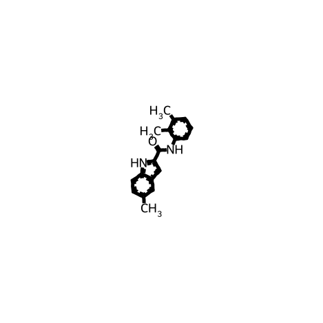 Cc1ccc2[nH]c(C(=O)Nc3cccc(C)c3C)cc2c1